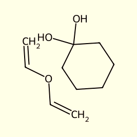 C=COC=C.OC1(O)CCCCC1